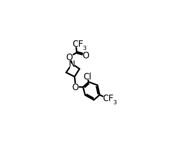 O=C(ON1CC(Oc2ccc(C(F)(F)F)cc2Cl)C1)C(F)(F)F